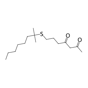 CCCCCCC(C)(C)SCCCC(=O)CC(C)=O